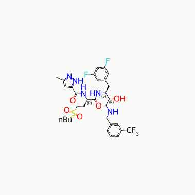 CCCCS(=O)(=O)CC[C@@H](NC(=O)c1cc(C)n[nH]1)C(=O)N[C@@H](Cc1cc(F)cc(F)c1)[C@H](O)CNCc1cccc(C(F)(F)F)c1